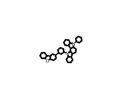 c1ccc(-n2c3ccccc3c3c2ccc2c4ccccc4n(-c4cccc(-c5ccc6oc7ccccc7c6c5)c4)c23)cc1